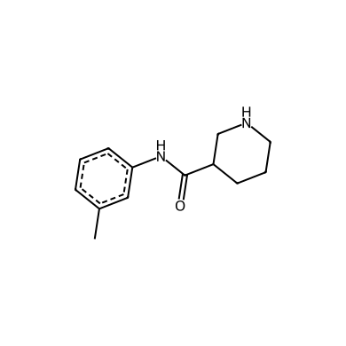 Cc1cccc(NC(=O)C2CCCNC2)c1